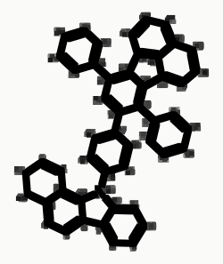 C1=Cc2c(ccc3c4ccccc4n(-c4ccc(-c5cc(-c6ccccc6)c6c(c5-c5ccccc5)-c5cccc7cccc-6c57)cc4)c23)CC1